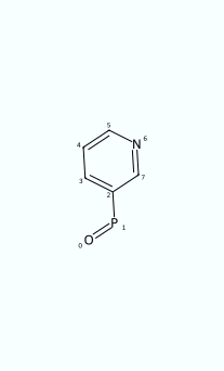 O=Pc1cccnc1